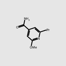 COc1cc(C(N)=O)cc(C(C)C)n1